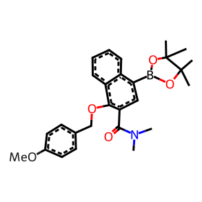 COc1ccc(COc2c(C(=O)N(C)C)cc(B3OC(C)(C)C(C)(C)O3)c3ccccc23)cc1